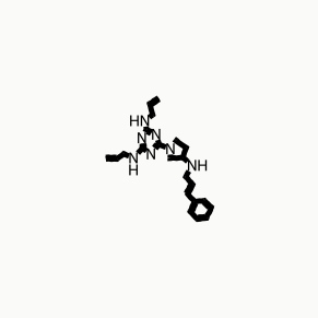 C=CCNc1nc(NCC=C)nc(N2CCC(NCC=Cc3ccccc3)C2)n1